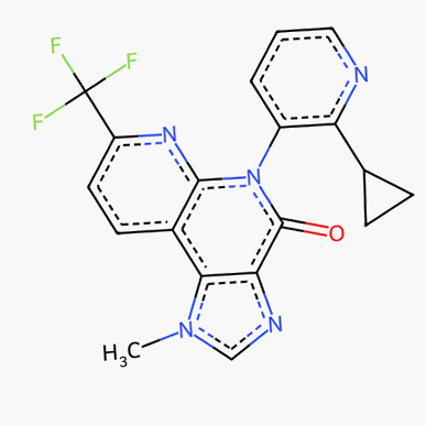 Cn1cnc2c(=O)n(-c3cccnc3C3CC3)c3nc(C(F)(F)F)ccc3c21